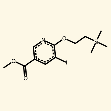 COC(=O)c1cnc(OCC[Si](C)(C)C)c(I)c1